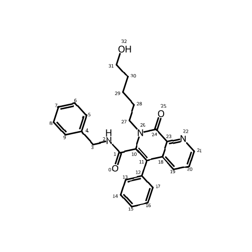 O=C(NCc1ccccc1)c1c(-c2ccccc2)c2cccnc2c(=O)n1CCCCCO